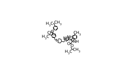 Cc1ccc2[nH]c(C(=O)OCC(C)C)c(/C(N)=C/N(N)CC3CCN(Cc4ccc(Oc5cccc(C(C)C)c5)c(C(C)C)c4)CC3)c2c1